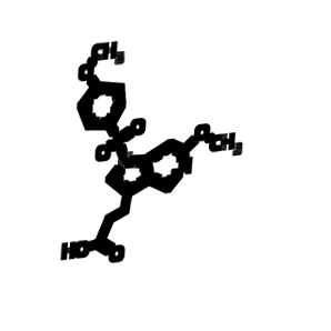 COc1ccc(S(=O)(=O)n2cc(CCC(=O)O)c3cnc(OC)cc32)cc1